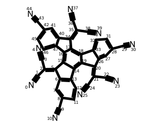 N#CC(C#N)=C1c2cc(C#N)ccc2-c2c1c1c(c3c2C(=C(C#N)C#N)c2cc(C#N)ccc2-3)C(=C(C#N)C#N)c2cc(C#N)ccc2-1